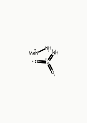 CNN.N=S(=O)=O